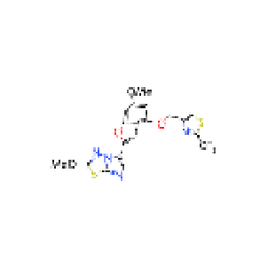 COc1cc(OCc2csc(C(F)(F)F)n2)c2cc(-c3cnc4sc(OC)nn34)oc2c1